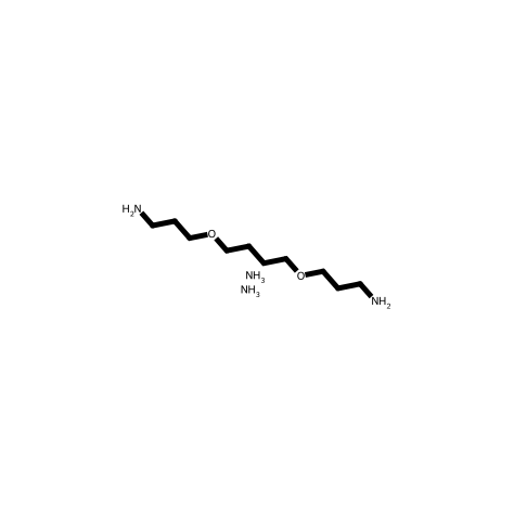 N.N.NCCCOCCCCOCCCN